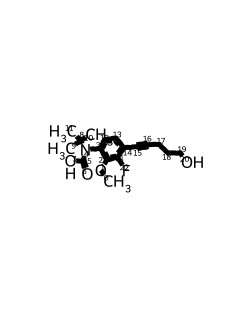 COc1c(N(C(=O)O)C(C)(C)C)ccc(C#CCCCO)c1F